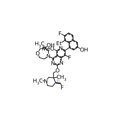 CCc1c(F)ccc2cc(O)cc(-c3nc(OC)c4c(N5CCOCC(C)(O)C5)nc(OCC5(C)CN(C)CC/C5=C\F)nc4c3F)c12